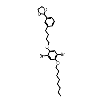 CCCCCCCCOc1cc(Br)c(OCCCCc2cccc(C3OCCO3)c2)cc1Br